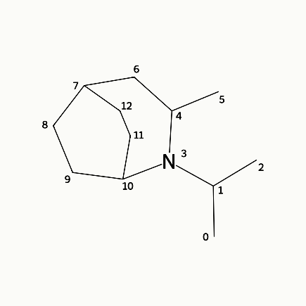 CC(C)N1C(C)CC2CCC1CC2